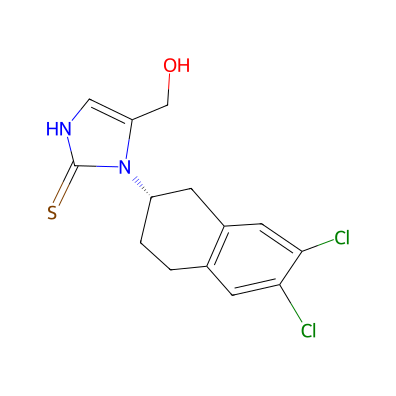 OCc1c[nH]c(=S)n1[C@H]1CCc2cc(Cl)c(Cl)cc2C1